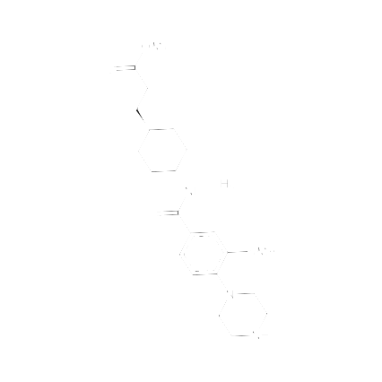 COC(=O)CC[C@H]1CC[C@H](NC(=O)c2ccc(N3CCNCC3)c(SC)c2)CC1.Cl